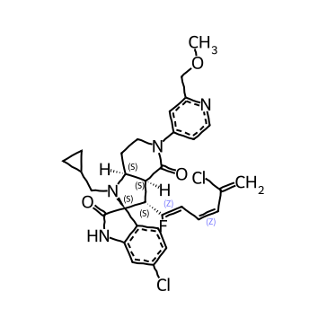 C=C(Cl)/C=C\C=C(/F)[C@H]1[C@@H]2C(=O)N(c3ccnc(COC)c3)CC[C@@H]2N(CC2CC2)[C@@]12C(=O)Nc1cc(Cl)ccc12